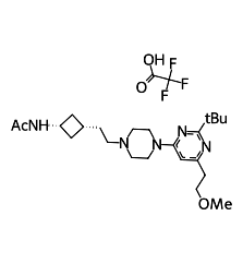 COCCc1cc(N2CCN(CC[C@H]3C[C@@H](NC(C)=O)C3)CC2)nc(C(C)(C)C)n1.O=C(O)C(F)(F)F